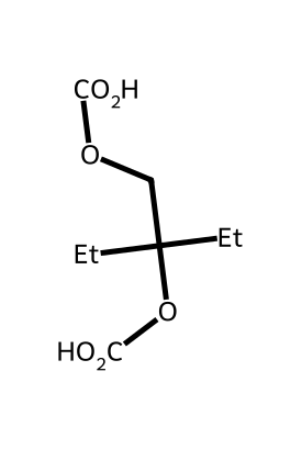 CCC(CC)(COC(=O)O)OC(=O)O